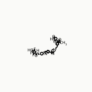 Cn1c(=O)n(C2CCC(=O)NC2=O)c2ccc(CCCN3CCn4c(-c5ccc6cn([C@H]7CC[C@H](CNC(=O)c8cc(F)c(O)c(F)c8F)CC7)nc6c5)cnc4C3)cc21